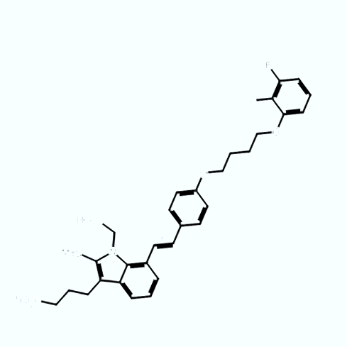 CSc1c(CCCC(=O)O)c2cccc(/C=C/c3ccc(OCCCCOc4cccc(F)c4F)cc3)c2n1CC(=O)O